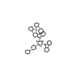 c1ccc(-c2ccc(-c3nc(-n4c5ccccc5c5ccccc54)nc(-n4c5ccccc5c5c6c(ccc54)-c4ccccc4C64c5ccccc5-c5ccccc54)n3)cc2)cc1